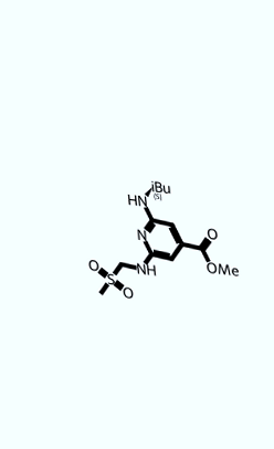 CC[C@H](C)Nc1cc(C(=O)OC)cc(NCS(C)(=O)=O)n1